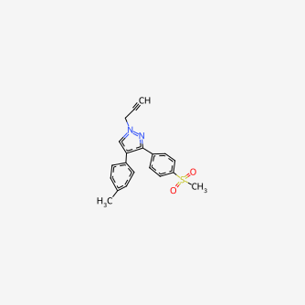 C#CCn1cc(-c2ccc(C)cc2)c(-c2ccc(S(C)(=O)=O)cc2)n1